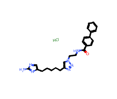 Cl.NC1=NC(CCCCCc2cn(CCNC(=O)c3ccc(-c4ccccc4)cc3)nn2)C=N1